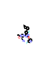 C=CC(=O)N1CCN(c2nc(OC[C@@]34CCCN3C[C@H](F)C4)nc3c(F)c(-c4cccc5c4CC4CC54)ccc23)C[C@@H]1CC#N